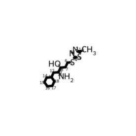 Cc1nnc(SCC[C@H](O)[C@@H](N)CC2CCCCC2)s1